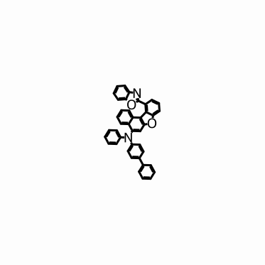 c1ccc(-c2ccc(N(c3ccccc3)c3cc4oc5cccc(-c6nc7ccccc7o6)c5c4c4ccccc34)cc2)cc1